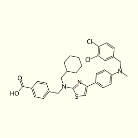 CN(Cc1ccc(Cl)c(Cl)c1)c1ccc(-c2csc(N(Cc3ccc(C(=O)O)cc3)CC3CCCCC3)n2)cc1